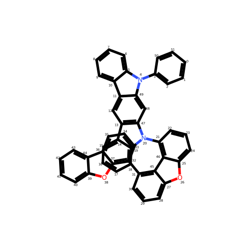 c1ccc(-n2c3ccccc3c3cc4c5ccccc5n(-c5cccc6oc7cccc(-c8cccc9c8oc8ccccc89)c7c56)c4cc32)cc1